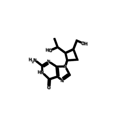 CC(O)C1C(CO)CC1n1cnc2c(=O)[nH]c(N)nc21